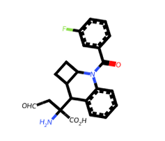 NC(CC=O)(C(=O)O)C1c2ccccc2N(C(=O)c2cccc(F)c2)C2CCC21